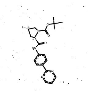 CC(C)(C)OC(=O)N1C[C@@H](F)C[C@@H]1C(=O)Nc1ccc(-c2ncccn2)cc1